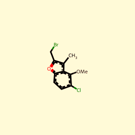 COc1c(Cl)ccc2oc(CBr)c(C)c12